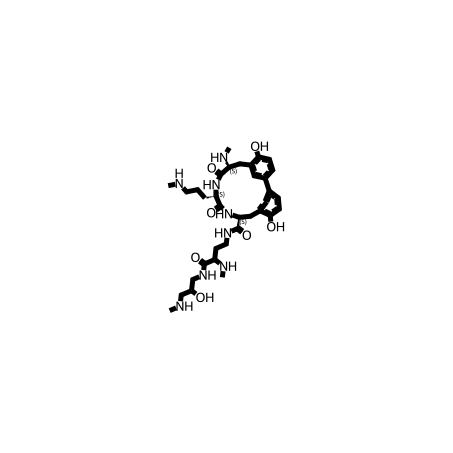 CNCCC[C@@H]1NC(=O)[C@@H](NC)Cc2cc(ccc2O)-c2ccc(O)c(c2)C[C@@H](C(=O)NCCC(NC)C(=O)NCC(O)CNC)NC1=O